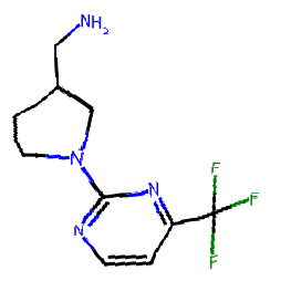 NCC1CCN(c2nccc(C(F)(F)F)n2)C1